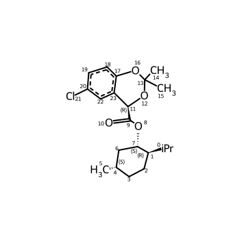 CC(C)[C@H]1CC[C@H](C)C[C@@H]1OC(=O)[C@@H]1OC(C)(C)Oc2ccc(Cl)cc21